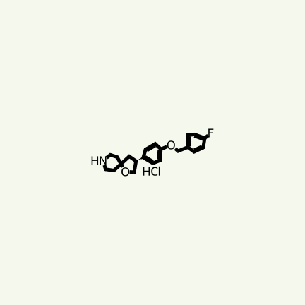 Cl.Fc1ccc(COc2ccc([C@@H]3COC4(CCNCC4)C3)cc2)cc1